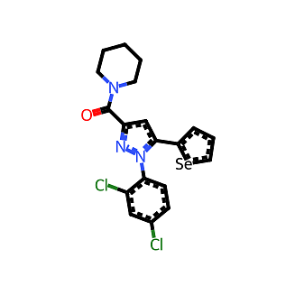 O=C(c1cc(-c2ccc[se]2)n(-c2ccc(Cl)cc2Cl)n1)N1CCCCC1